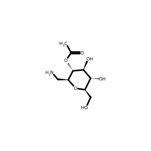 CC(=O)O[C@@H]1[C@@H](O)[C@H](O)[C@@H](CO)O[C@H]1CN